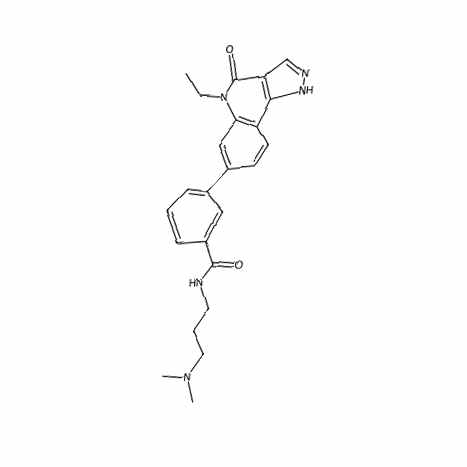 CCn1c(=O)c2cn[nH]c2c2ccc(-c3cccc(C(=O)NCCCN(C)C)c3)cc21